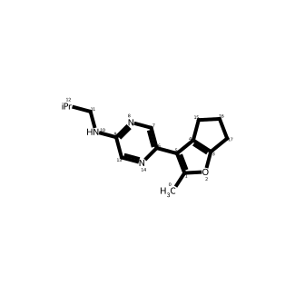 Cc1oc2c(c1-c1cnc(NCC(C)C)cn1)CCC2